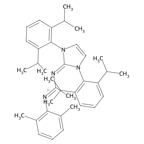 C/C(N=c1n(-c2c(C(C)C)cccc2C(C)C)ccn1-c1c(C(C)C)cccc1C(C)C)=N\c1c(C)cccc1C